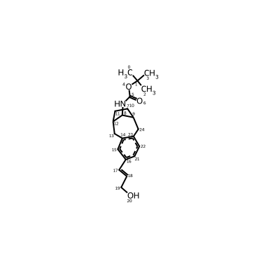 CC(C)(C)OC(=O)NC1C2CCC1Cc1cc(/C=C/CO)ccc1C2